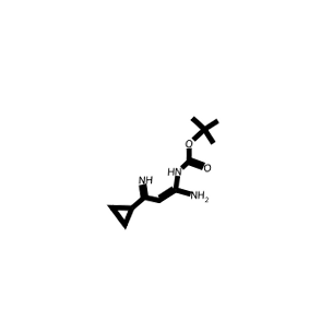 CC(C)(C)OC(=O)N/C(N)=C\C(=N)C1CC1